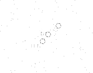 Nc1ccc(-c2ccc(OCc3ccccc3)cc2[N+](=O)[O-])cc1